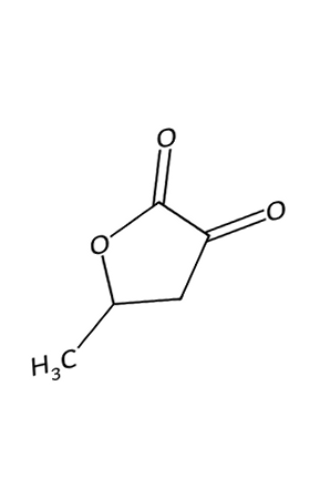 CC1CC(=O)C(=O)O1